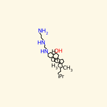 CC(C)CCC[C@@H](C)C1CCC2C3C[C@@H](O)[C@H]4C[C@H](NCCCNCCCCN)CC[C@]4(C)C3CC[C@@]21C